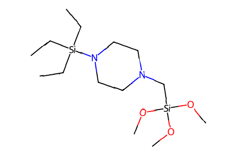 CC[Si](CC)(CC)N1CCN(C[Si](OC)(OC)OC)CC1